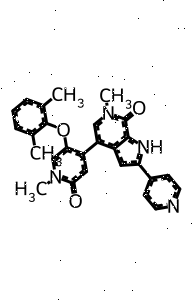 Cc1cccc(C)c1Oc1cn(C)c(=O)cc1-c1cn(C)c(=O)c2[nH]c(-c3ccncc3)cc12